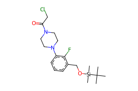 CC(C)(C)[Si](C)(C)OCc1cccc(N2CCN(C(=O)CCl)CC2)c1F